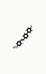 CCCc1ccc(/C=C/c2ccc(-c3ccc(F)cc3)cc2)cc1